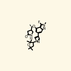 C[C@@H](Oc1cc(-c2cnn(C3CC(C)(C)OC3(C)C)c2)cc2nn(C)c(F)c12)C1CNC(=O)C1